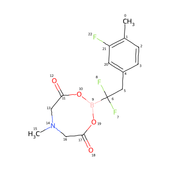 Cc1ccc(CC(F)(F)B2OC(=O)CN(C)CC(=O)O2)cc1F